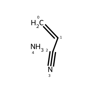 C=CC#N.N